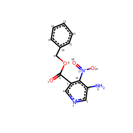 Nc1cncc(C(=O)OCc2ccccc2)c1[N+](=O)[O-]